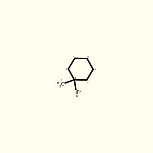 CC(C)C1(C(F)(F)F)CCCCC1